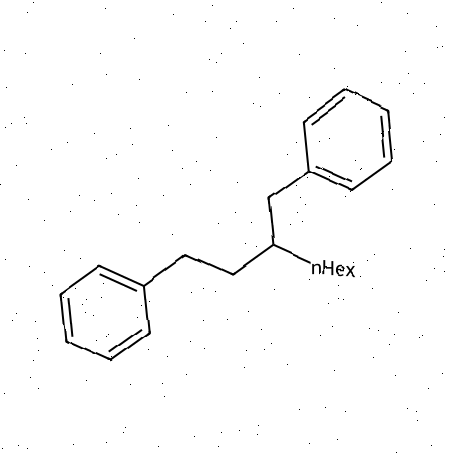 CCCCCCC(CCc1ccccc1)Cc1ccccc1